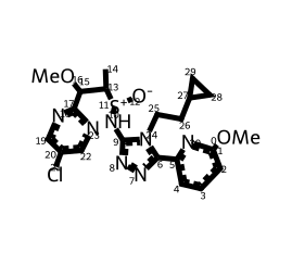 COc1cccc(-c2nnc(N[S+]([O-])C(C)C(OC)c3ncc(Cl)cn3)n2CCC2CC2)n1